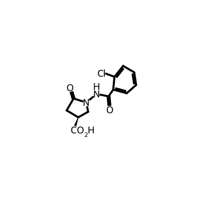 O=C(NN1C[C@@H](C(=O)O)CC1=O)c1ccccc1Cl